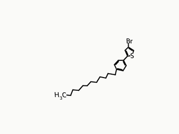 CCCCCCCCCCCCc1ccc(-c2cc(Br)cs2)cc1